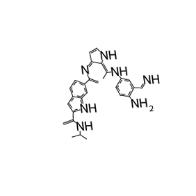 C=C(/N=C1/C=CN/C1=C(/C)Nc1ccc(N)c(C=N)c1)c1ccc2cc(C(=C)NC(C)C)[nH]c2c1